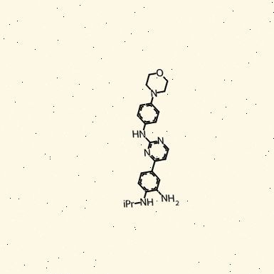 CC(C)Nc1ccc(-c2ccnc(Nc3ccc(N4CCOCC4)cc3)n2)cc1N